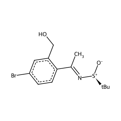 C/C(=N\[S@@+]([O-])C(C)(C)C)c1ccc(Br)cc1CO